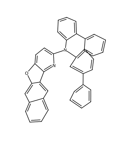 c1ccc(-c2cccc(N(c3ccc4oc5cc6ccccc6cc5c4n3)c3ccccc3-c3ccccc3)c2)cc1